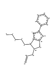 CCCCCC1c2nc(-c3ccccc3)sc2CC1CC=O